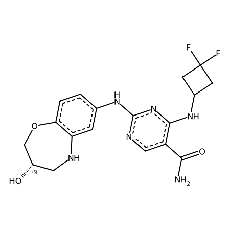 NC(=O)c1cnc(Nc2ccc3c(c2)NC[C@H](O)CO3)nc1NC1CC(F)(F)C1